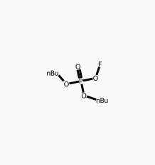 CCCCOP(=O)(OF)OCCCC